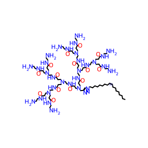 CCCCCCCC/C=C\CCCCCCCCn1cc(CN(CCC(=O)NCCN(CCC(=O)NCCN(CCC(=O)NCCN)CCC(=O)NCCN)CCC(=O)NCCN(CCC(=O)NCCN)CCC(=O)NCCN)CCC(=O)NCCN(CCC(=O)NCCN(CCC(=O)NCCN)CCC(=O)NCCN)CCC(=O)NCCN(CCC(=O)NCCN)CCC(=O)NCCN)nn1